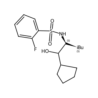 CC[C@H](C)[C@H](NS(=O)(=O)c1ccccc1F)C(O)C1CCCC1